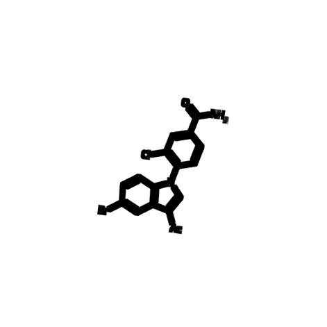 CC(=O)c1cn(-c2ccc(C(N)=O)cc2Cl)c2ccc(Br)cc12